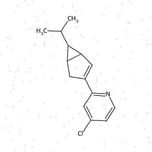 CC(C)C1C2C=C(c3cc(Cl)ccn3)CC21